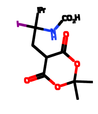 CC(C)C(I)(CC1C(=O)OC(C)(C)OC1=O)NC(=O)O